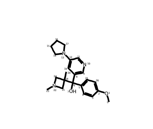 COc1ccc(C(O)(c2cncc(N3CCCC3)c2)C2(C)CN(C)C2)cc1